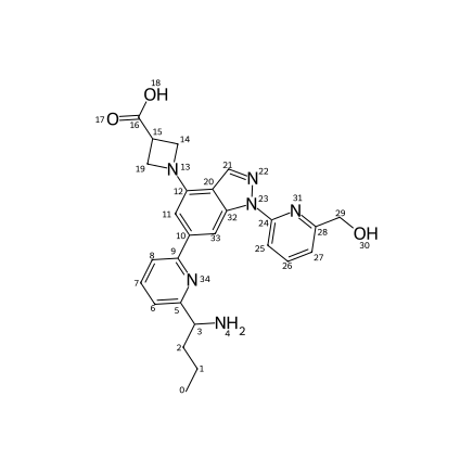 CCCC(N)c1cccc(-c2cc(N3CC(C(=O)O)C3)c3cnn(-c4cccc(CO)n4)c3c2)n1